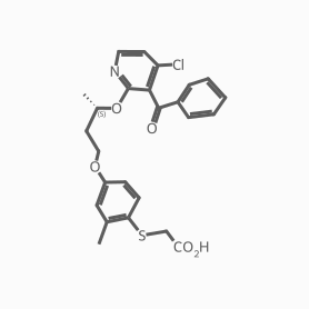 Cc1cc(OCC[C@H](C)Oc2nccc(Cl)c2C(=O)c2ccccc2)ccc1SCC(=O)O